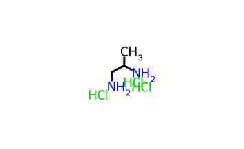 CC(N)CN.Cl.Cl.Cl